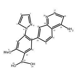 COc1cc(-n2cccn2)c(-c2ccc3c(N)cnnc3c2)cc1B(O)O